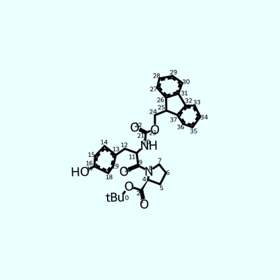 CC(C)(C)OC(=O)[C@@H]1CCCN1C(=O)C(Cc1ccc(O)cc1)NC(=O)OCC1c2ccccc2-c2ccccc21